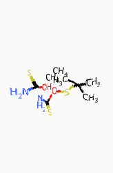 C.C.CC(C)(C)SOC(N)=S.NC(O)=S